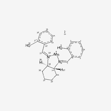 Oc1ccccc1C=[N+]1[Mn][N+](=Cc2ccccc2O)[C@@H]2CCCC[C@H]21.[I-]